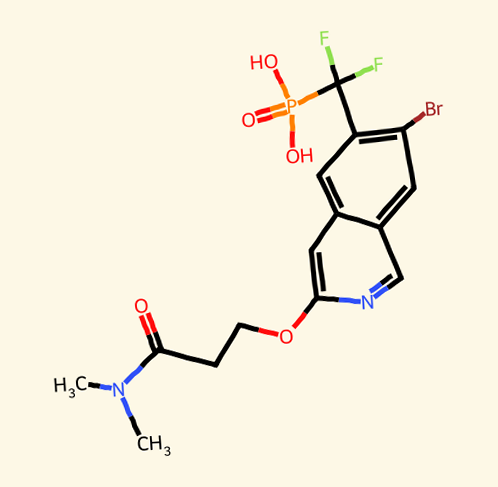 CN(C)C(=O)CCOc1cc2cc(C(F)(F)P(=O)(O)O)c(Br)cc2cn1